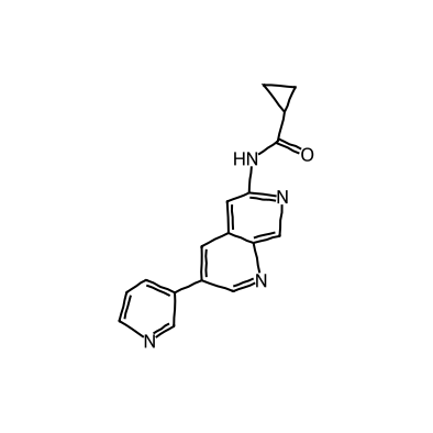 O=C(Nc1cc2cc(-c3cccnc3)cnc2cn1)C1CC1